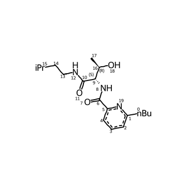 CCCCc1cccc(C(=O)N[C@H](C(=O)N[CH]CC(C)C)[C@@H](C)O)n1